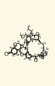 CCCN(CCOC)C(=O)[C@H]1/C(F)=C/C[C@H](C)[C@@H](C)S(=O)(=O)NC(=O)c2ccc3c(c2)N(C[C@@H]2CCCN21)C[C@@]1(CCOc2cc(Cl)ccc21)CO3